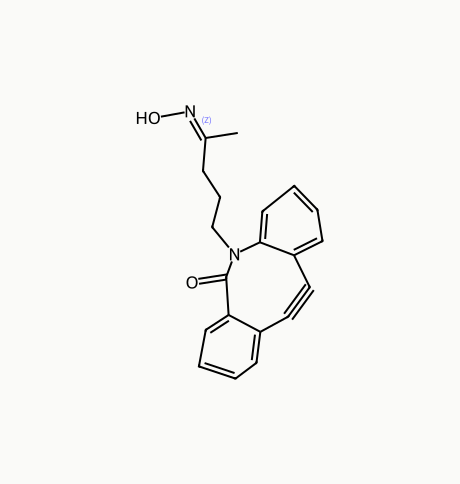 C/C(CCCN1C(=O)c2ccccc2C#Cc2ccccc21)=N/O